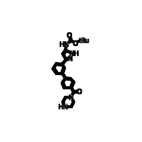 CC(C)(C)OC(=O)Nc1cc(-c2cccc(-c3ccc(C(=O)N4CCNCC4)cc3)c2)n[nH]1